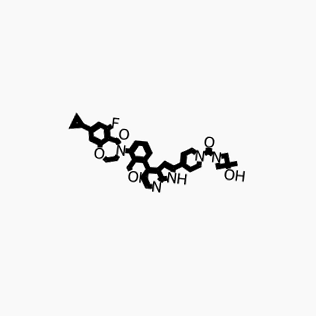 CC1(O)CN(C(=O)N2CC=C(c3cc4c(-c5cccc(N6CCOc7cc(C8CC8)cc(F)c7C6=O)c5CO)ccnc4[nH]3)CC2)C1